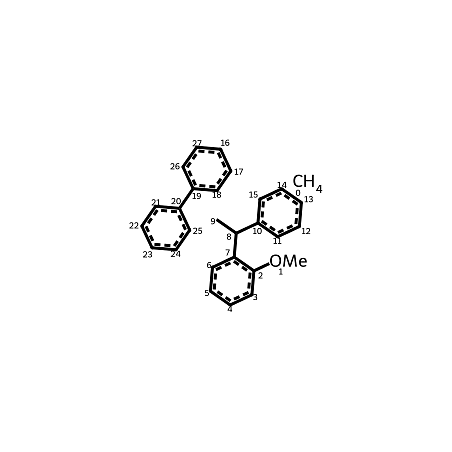 C.COc1ccccc1C(C)c1ccccc1.c1ccc(-c2ccccc2)cc1